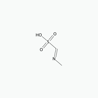 C/N=C/S(=O)(=O)O